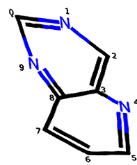 [c]1ncc2ncccc2n1